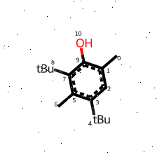 Cc1cc(C(C)(C)C)c(C)c(C(C)(C)C)c1O